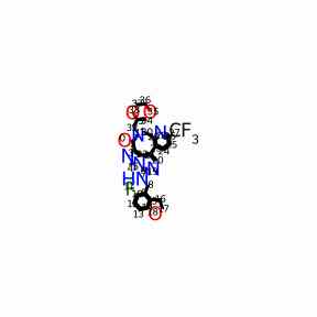 O=C1c2ncn3c(NCc4c(F)ccc5c4CCO5)ncc(c23)-c2ccc(C(F)(F)F)nc2CN1CC1COCCO1